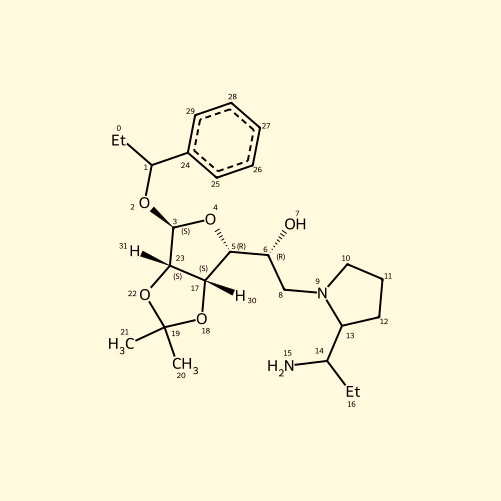 CCC(O[C@H]1O[C@H]([C@H](O)CN2CCCC2C(N)CC)[C@@H]2OC(C)(C)O[C@H]12)c1ccccc1